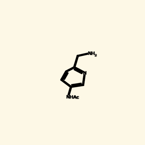 CC(=O)Nc1ccc(CN)nc1